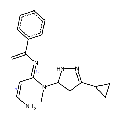 C=C(/N=C(\C=C/N)N(C)C1CC(C2CC2)=NN1)c1ccccc1